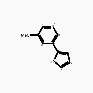 COc1cncc(-c2cc[c]s2)c1